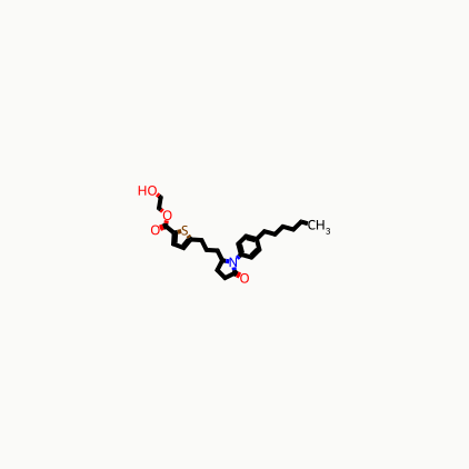 CCCCCCc1ccc(N2C(=O)CCC2CCCc2ccc(C(=O)OCCO)s2)cc1